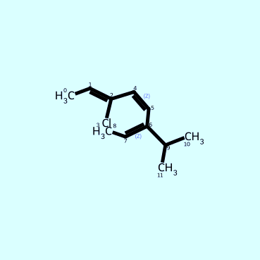 CC=C(Cl)/C=C\C(=C/C)C(C)C